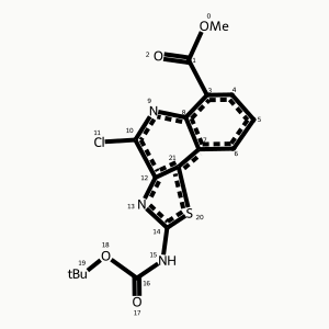 COC(=O)c1cccc2c1nc(Cl)c1nc(NC(=O)OC(C)(C)C)sc12